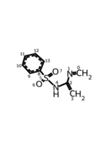 C=NC(=C)NS(=O)(=O)c1ccccc1